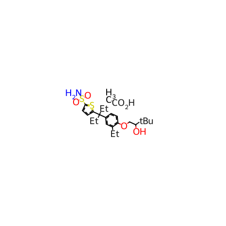 CC(=O)O.CCc1cc(C(CC)(CC)c2ccc(S(N)(=O)=O)s2)ccc1OCC(O)C(C)(C)C